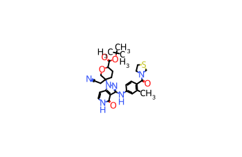 Cc1cc(Nc2nn(C3(CC#N)CCC(C(=O)OC(C)(C)C)OC3)c3cc[nH]c(=O)c23)ccc1C(=O)N1CCSC1